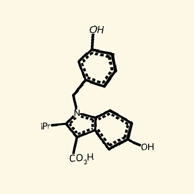 CC(C)c1c(C(=O)O)c2cc(O)ccc2n1Cc1cccc(O)c1